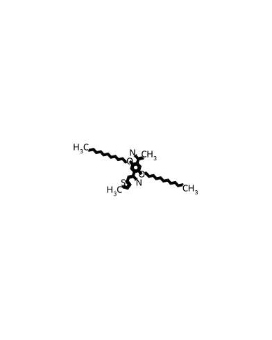 C/C=C(\C#N)c1cc(OCCCCCCCCCCCC)c(/C(C#N)=C/c2ccc(C)s2)cc1OCCCCCCCCCCCC